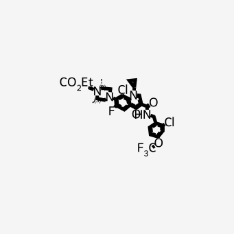 CCOC(=O)CN1[C@H](C)CN(c2c(F)cc3c(=O)c(C(=O)NCc4ccc(OC(F)(F)F)cc4Cl)cn(C4CC4)c3c2Cl)C[C@@H]1C